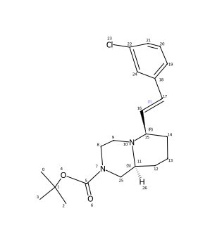 CC(C)(C)OC(=O)N1CCN2[C@@H](CCC[C@@H]2/C=C/c2cccc(Cl)c2)C1